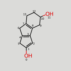 OC1=CC2=C(C1)CC1=C2CC(O)CC1